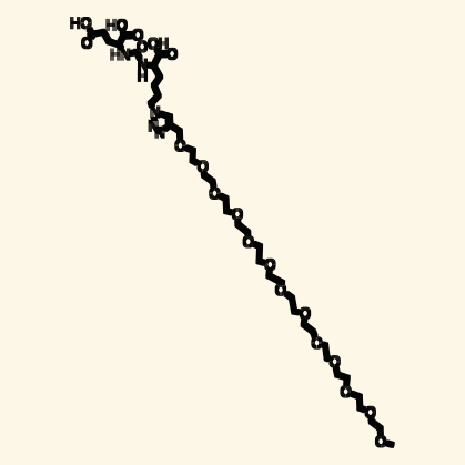 COCCOCCOCCOCCOCCOCCOCCOCCOCCOCCOCCOCCOCc1cn(CCCCC(NC(=O)NC(CCC(=O)O)C(=O)O)C(=O)O)nn1